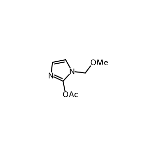 COCn1ccnc1OC(C)=O